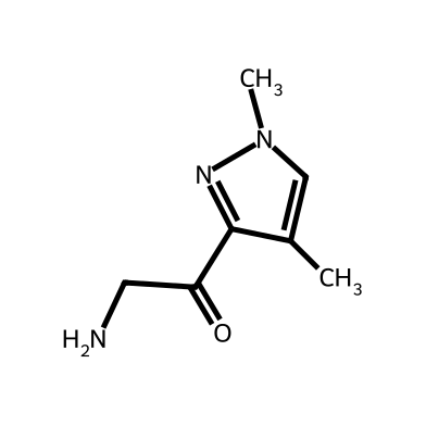 Cc1cn(C)nc1C(=O)CN